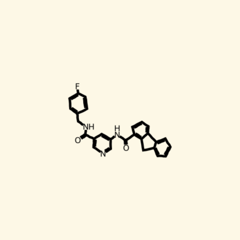 O=C(NCc1ccc(F)cc1)c1cncc(NC(=O)c2cccc3c2Cc2ccccc2-3)c1